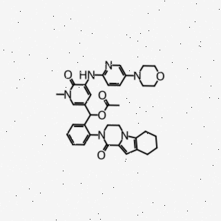 CC(=O)OC(c1cc(Nc2ccc(N3CCOCC3)cn2)c(=O)n(C)c1)c1ccccc1N1CCn2c(cc3c2CCCC3)C1=O